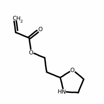 C=CC(=O)OCCC1NCCO1